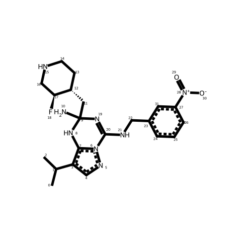 CC(C)c1cnn2c1NC(N)(C[C@H]1CCNC[C@@H]1F)N=C2NCc1cccc([N+](=O)[O-])c1